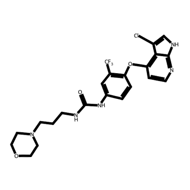 O=C(NCCCN1CCOCC1)Nc1ccc(Oc2ccnc3[nH]cc(Cl)c23)c(C(F)(F)F)c1